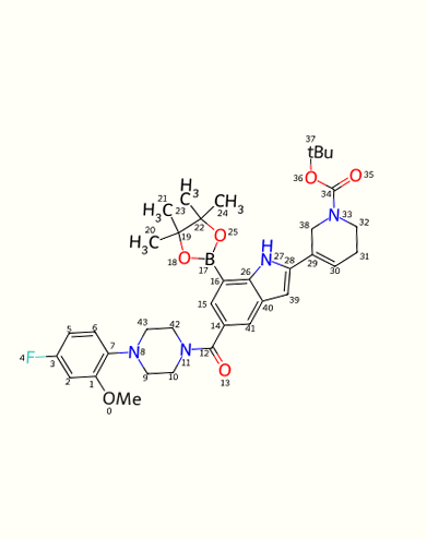 COc1cc(F)ccc1N1CCN(C(=O)c2cc(B3OC(C)(C)C(C)(C)O3)c3[nH]c(C4=CCCN(C(=O)OC(C)(C)C)C4)cc3c2)CC1